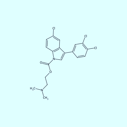 CN(C)CCOC(=O)n1cc(-c2ccc(Cl)c(Cl)c2)c2cc(Cl)ccc21